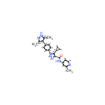 Cc1cc(NC(=O)c2nnn(-c3ccc(-c4c(C)n[nH]c4C)cc3)c2C2CC2)ccn1